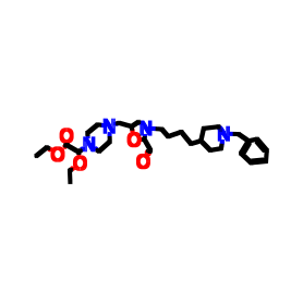 CCOC(=O)C(OCC)N1CCN(CC2CN(CCCCC3CCN(Cc4ccccc4)CC3)C(C=O)O2)CC1